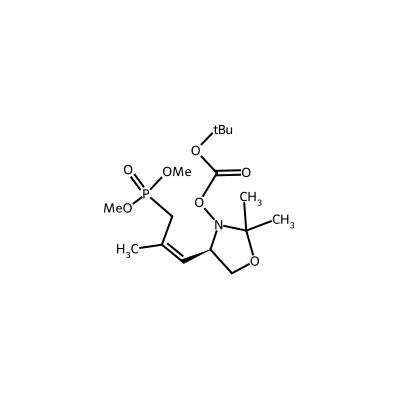 COP(=O)(CC(C)=C[C@@H]1COC(C)(C)N1OC(=O)OC(C)(C)C)OC